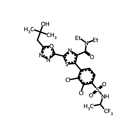 CCN(CC)C(=O)c1nc(-c2nnc(CC(C)(C)O)o2)sc1-c1ccc(S(=O)(=O)NC(C)C(F)(F)F)c(Cl)c1Cl